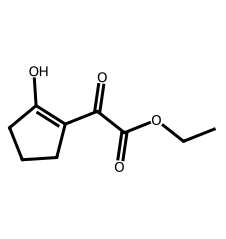 CCOC(=O)C(=O)C1=C(O)CCC1